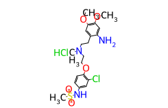 COc1cc(N)c(CCN(C)CCOc2ccc(NS(C)(=O)=O)cc2Cl)cc1OC.Cl